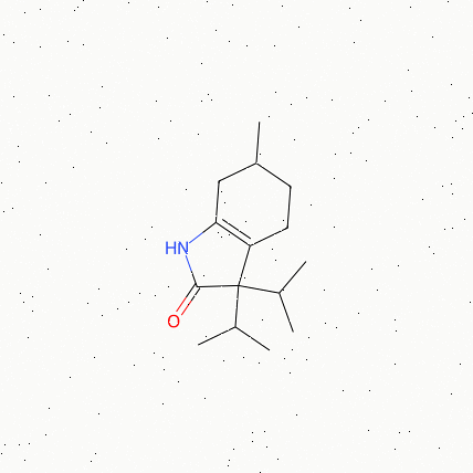 CC1CCC2=C(C1)NC(=O)C2(C(C)C)C(C)C